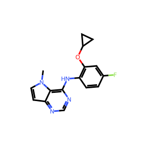 Cn1ccc2ncnc(Nc3ccc(F)cc3OC3CC3)c21